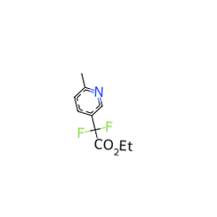 CCOC(=O)C(F)(F)c1ccc(C)nc1